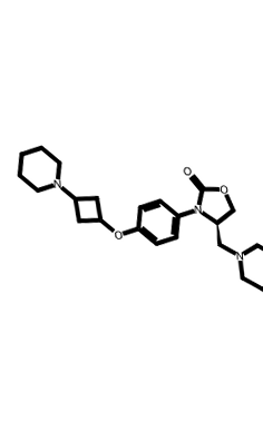 O=C1OC[C@@H](CN2CCCCC2)N1c1ccc(OC2CC(N3CCCCC3)C2)cc1